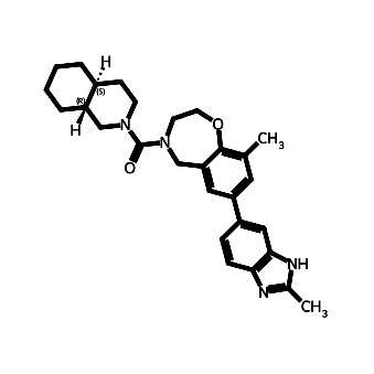 Cc1nc2ccc(-c3cc(C)c4c(c3)CN(C(=O)N3CC[C@@H]5CCCC[C@H]5C3)CCO4)cc2[nH]1